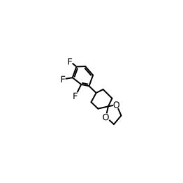 Fc1ccc(C2CCC3(CC2)OCCO3)c(F)c1F